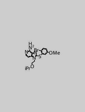 COc1ccc(Br)c(Sc2nc3c(N)nccc3n2CCOC(C)C)c1